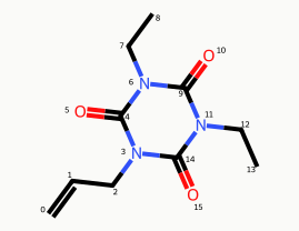 C=CCn1c(=O)n(CC)c(=O)n(CC)c1=O